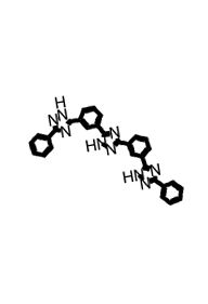 c1ccc(-c2n[nH]c(-c3cccc(-c4n[nH]c(-c5cccc(-c6nc(-c7ccccc7)n[nH]6)c5)n4)c3)n2)cc1